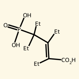 CC/C(C(=O)O)=C(/CC)C(CC)(CC)P(=O)(O)O